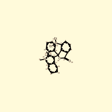 CCN(CC)c1cccc2c1C(c1ccccc1C)(c1c(C)n(C)c3ccccc13)OC2=O